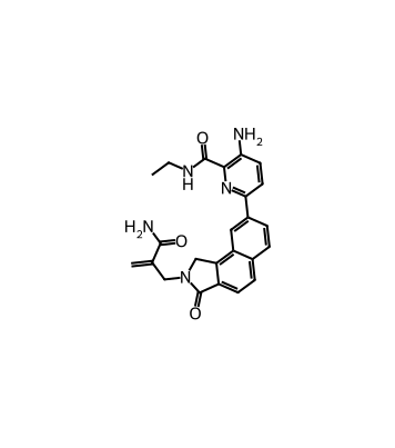 C=C(CN1Cc2c(ccc3ccc(-c4ccc(N)c(C(=O)NCC)n4)cc23)C1=O)C(N)=O